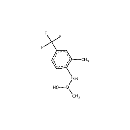 CB(O)Nc1ccc(C(F)(F)F)cc1C